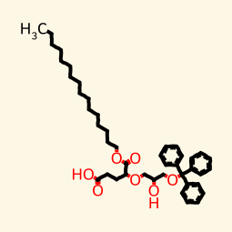 CCCCCCCCCCCCCCCCOC(=O)C(CCC(=O)O)OCC(O)COC(c1ccccc1)(c1ccccc1)c1ccccc1